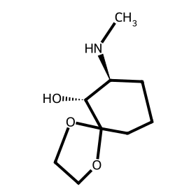 CN[C@H]1CCCC2(OCCO2)[C@@H]1O